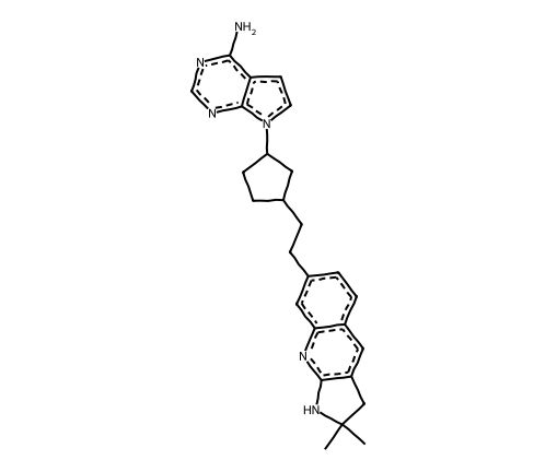 CC1(C)Cc2cc3ccc(CCC4CCC(n5ccc6c(N)ncnc65)C4)cc3nc2N1